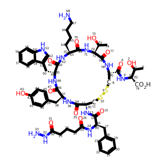 CC(O)[C@H](NC(=O)[C@@H]1CSSC[C@H](NC(=O)[C@@H](Cc2ccccc2)NC(=O)CCCC(=O)NN)C(=O)N[C@@H](Cc2ccc(O)cc2)C(=O)N[C@H](Cc2c[nH]c3ccccc23)C(=O)N[C@@H](CCCCN)C(=O)N[C@@H](C(C)O)C(=O)N1)C(=O)O